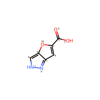 O=C(O)c1cc2n[nH]cc2o1